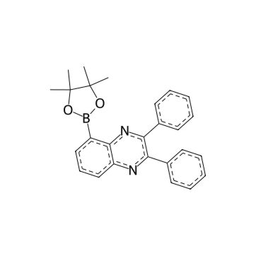 CC1(C)OB(c2cccc3nc(-c4ccccc4)c(-c4ccccc4)nc23)OC1(C)C